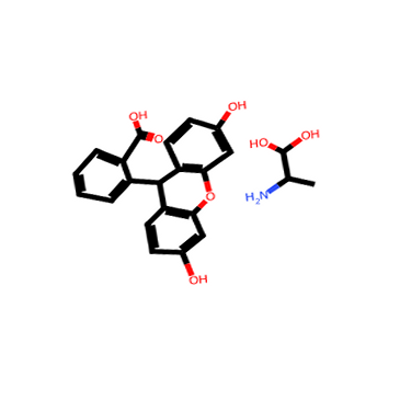 CC(N)C(O)O.O=C(O)c1ccccc1C1c2ccc(O)cc2Oc2cc(O)ccc21